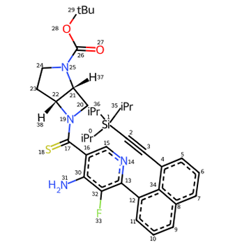 CC(C)[Si](C#Cc1cccc2cccc(-c3ncc(C(=S)N4C[C@@H]5[C@H]4CCN5C(=O)OC(C)(C)C)c(N)c3F)c12)(C(C)C)C(C)C